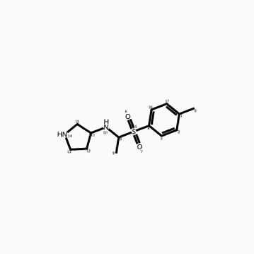 Cc1ccc(S(=O)(=O)C(C)NC2CCNC2)cc1